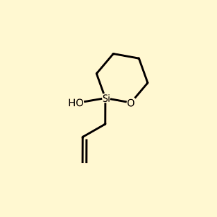 C=CC[Si]1(O)CCCCO1